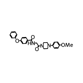 COc1ccc(N2CCN(C(=O)CNC(=O)c3ccc(Oc4ccccc4)cc3)CC2)cc1